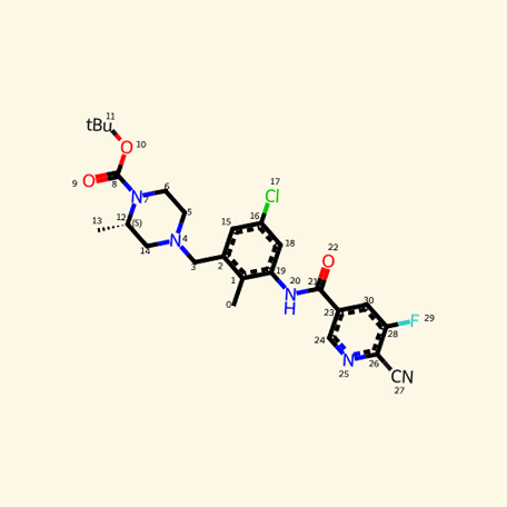 Cc1c(CN2CCN(C(=O)OC(C)(C)C)[C@@H](C)C2)cc(Cl)cc1NC(=O)c1cnc(C#N)c(F)c1